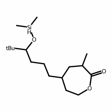 CC1CC(CCCC(O[SiH](C)C)C(C)(C)C)CCOC1=O